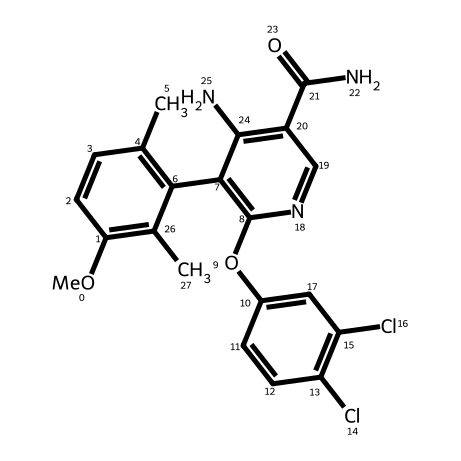 COc1ccc(C)c(-c2c(Oc3ccc(Cl)c(Cl)c3)ncc(C(N)=O)c2N)c1C